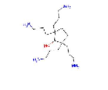 NCCCC1(CCCN)CCC(CCCN)(CCCN)C1O